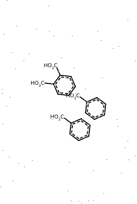 O=C(O)c1ccccc1.O=C(O)c1ccccc1.O=C(O)c1ccccc1C(=O)O